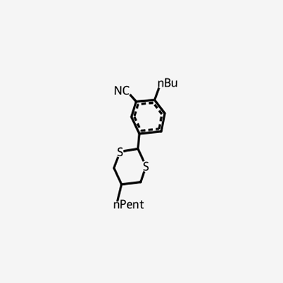 CCCCCC1CSC(c2ccc(CCCC)c(C#N)c2)SC1